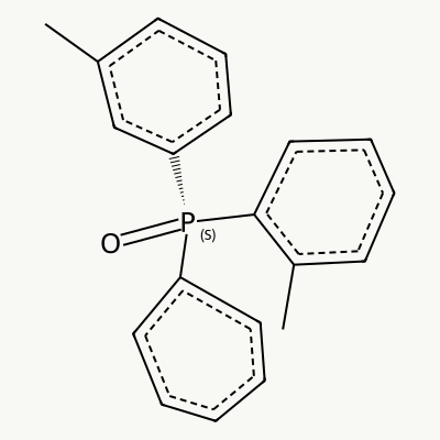 Cc1cccc([P@@](=O)(c2ccccc2)c2ccccc2C)c1